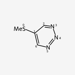 CSc1cnnnc1